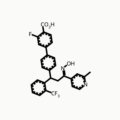 Cc1cc(C(CC(c2ccc(-c3ccc(C(=O)O)c(F)c3)cc2)c2ccccc2C(F)(F)F)=NO)ccn1